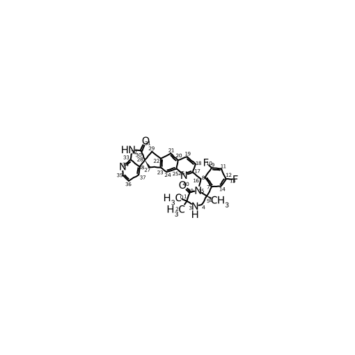 CC1(C)NC[C@@](C)(c2cc(F)cc(F)c2)N(Cc2ccc3cc4c(cc3n2)C[C@]2(C4)C(=O)Nc3ncccc32)C1=O